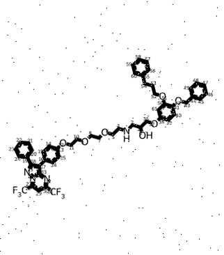 OC(CNCCOCCOCCOc1ccc(-c2c(-c3ccccc3)nn3c(C(F)(F)F)cc(C(F)(F)F)nc23)cc1)COc1ccc(OCc2ccccc2)c(OCCCc2ccccc2)c1